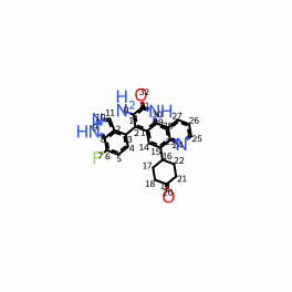 Nc1c(-c2ccc(F)c3[nH]ncc23)c2cc(C3CCC(=O)CC3)c3ncccc3c2[nH]c1=O